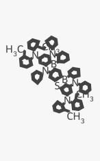 CCc1ccccc1N(c1cc2c3c(c1)N(c1ccccc1)c1ccccc1B3c1cc3c(cc1S2)N(c1ccccc1)c1cc(N(c2ccccc2CC)c2ccccc2CC)cc2c1B3c1ccccc1N2c1ccccc1)c1ccccc1CC